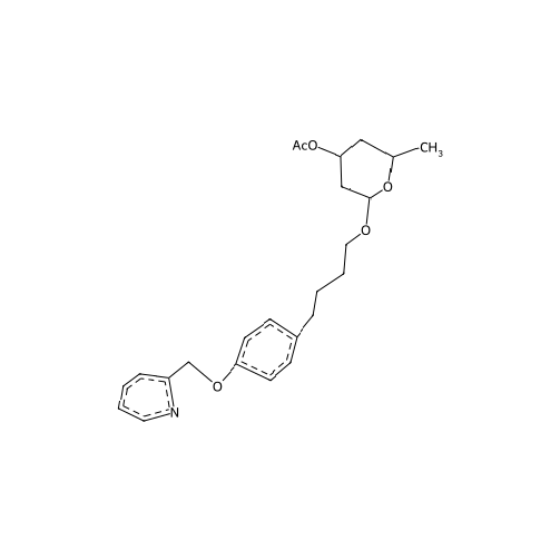 CC(=O)OC1CC(C)OC(OCCCCc2ccc(OCc3ccccn3)cc2)C1